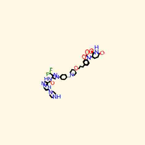 O=C1CCC(n2c(=O)oc3cc(CCCOC4CCN(C[C@H]5CC[C@H](n6cc(NC(=O)c7cnn8ccc(N9CCNCC9)nc78)c(C(F)F)n6)CC5)CC4)ccc32)C(=O)N1